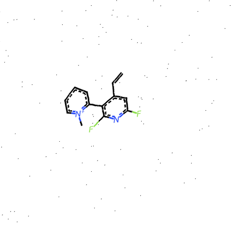 C=Cc1cc(F)nc(F)c1-c1cccc[n+]1C